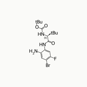 CC(C)(C)OC(=O)N[C@H](C(=O)Nc1cc(F)c(Br)cc1N)C(C)(C)C